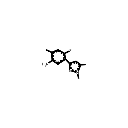 Cc1cc(F)c(-c2cc(C)n(C)n2)cc1N